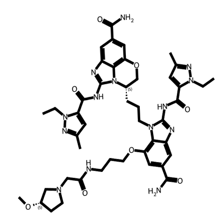 CCn1nc(C)cc1C(=O)Nc1nc2cc(C(N)=O)cc(OCCCNC(=O)CN3CC[C@H](OC)C3)c2n1CCC[C@H]1COc2cc(C(N)=O)cc3nc(NC(=O)c4cc(C)nn4CC)n1c23